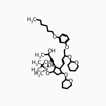 CCCCCCOc1cccc(OCC(C=CC2C(OC3CCCCO3)CC(O[Si](C)(C)C(C)(C)C)C2C#CC(C)O)OC2CCCCO2)c1